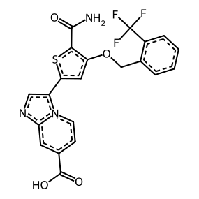 NC(=O)c1sc(-c2cnc3cc(C(=O)O)ccn23)cc1OCc1ccccc1C(F)(F)F